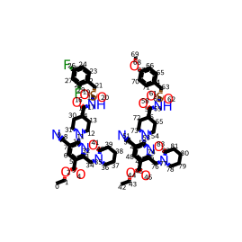 CCOC(=O)c1cc(C#N)c(N2CCC(C(=O)NS(=O)(=O)Cc3ccc(F)cc3F)CC2)nc1CN1CCCCC1=O.CCOC(=O)c1cc(C#N)c(N2CCC(C(=O)NS(=O)(=O)Cc3ccc(OC)cc3)CC2)nc1CN1CCCCC1=O